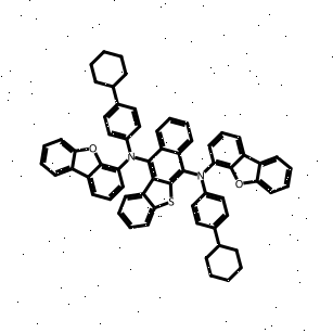 c1ccc2c(c1)oc1c(N(c3ccc(C4CCCCC4)cc3)c3c4ccccc4c(N(c4ccc(C5CCCCC5)cc4)c4cccc5c4oc4ccccc45)c4c3sc3ccccc34)cccc12